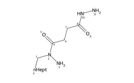 CCCCCCCCN(N)C(=O)CCC(=O)NN